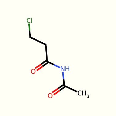 CC(=O)NC(=O)CCCl